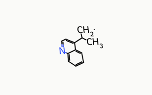 [CH2]C(C)c1ccnc2ccccc12